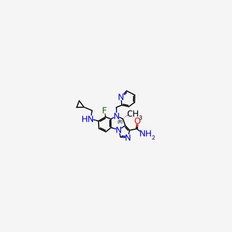 C[C@@H]1c2c(C(N)=O)ncn2-c2ccc(NCC3CC3)c(F)c2N1Cc1ccccn1